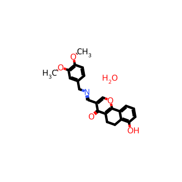 COc1ccc(C/N=C/c2coc3c(c2=O)CCc2c(O)cccc2-3)cc1OC.O